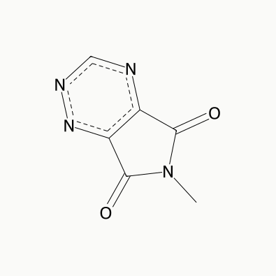 CN1C(=O)c2ncnnc2C1=O